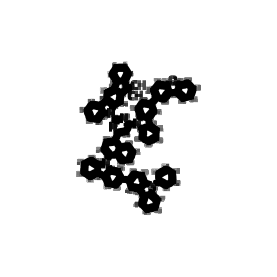 CC1(C)c2ccccc2-c2cc3c4ccccc4n(-c4nc(-c5ccc(-n6c7ccccc7c7ccc(-c8ccc9c(c8)c8ccccc8n9-c8ccccc8)cc76)c6ccccc56)cc(-n5c6ccccc6c6cc(-c7ccc8oc9ccccc9c8c7)ccc65)n4)c3cc21